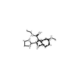 CCOC(=O)c1c(C2OCCO2)oc2ccc(OC)cc12